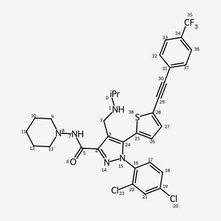 CC(C)NCc1c(C(=O)NN2CCCCC2)nn(-c2ccc(Cl)cc2Cl)c1-c1ccc(C#Cc2ccc(C(F)(F)F)cc2)s1